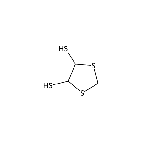 SC1SCSC1S